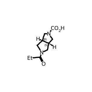 CCC(=O)N1C[C@H]2CN(C(=O)O)C[C@H]2C1